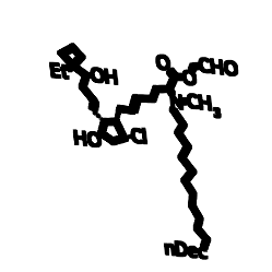 CCCCCCCCCCCCCCCCCCCCCCN(C)C(CCC=CC[C@@H]1[C@@H](C=CC[C@H](O)C2(CC)CCC2)[C@H](O)C[C@H]1Cl)C(=O)OCC=O